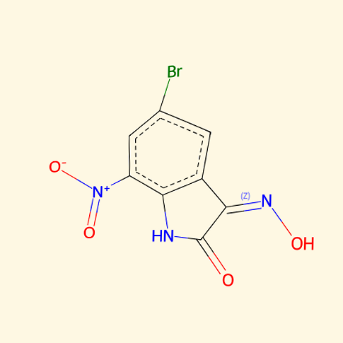 O=C1Nc2c(cc(Br)cc2[N+](=O)[O-])/C1=N/O